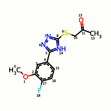 COc1cc(-c2nnc(SCC(C)=O)[nH]2)ccc1F